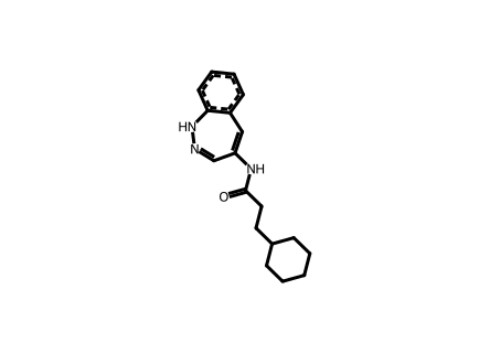 O=C(CCC1CCCCC1)NC1=Cc2ccccc2NN=C1